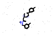 C=C(/C=C\C(=C/C)CC(=C)N(C)Cc1cccc(C)c1)c1ccc(C)cc1